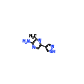 Cc1nc(-c2cn[nH]c2)cnc1N